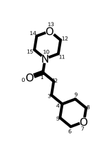 O=C([CH]CC1CCOCC1)N1CCOCC1